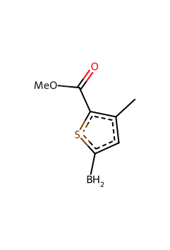 Bc1cc(C)c(C(=O)OC)s1